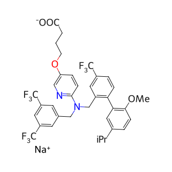 COc1ccc(C(C)C)cc1-c1ccc(C(F)(F)F)cc1CN(Cc1cc(C(F)(F)F)cc(C(F)(F)F)c1)c1ccc(OCCCC(=O)[O-])cn1.[Na+]